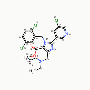 CCN(CC)Cc1nc(-c2cncc(Cl)c2)n(Cc2cc(Cl)ccc2Cl)c1C(=O)OC